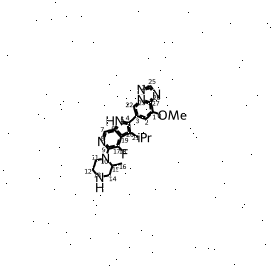 COc1cc(-c2[nH]c3cnc(N4CCNCC4C)c(F)c3c2C(C)C)cn2ncnc12